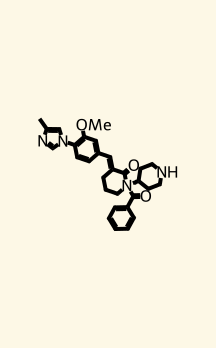 COc1cc(/C=C2\CCC[N+](C(=O)c3ccccc3)(C3CCNCC3)C2=O)ccc1-n1cnc(C)c1